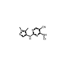 CCNc1nc(Nc2cnn(C)c2C)ncc1C#N